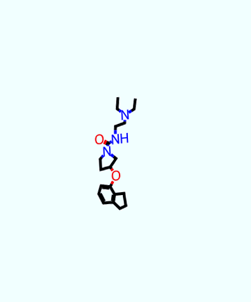 CCN(CC)CCNC(=O)N1CCC(Oc2cccc3c2CCC3)C1